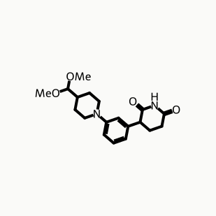 COC(OC)C1CCN(c2cccc(C3CCC(=O)NC3=O)c2)CC1